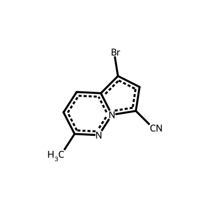 Cc1ccc2c(Br)cc(C#N)n2n1